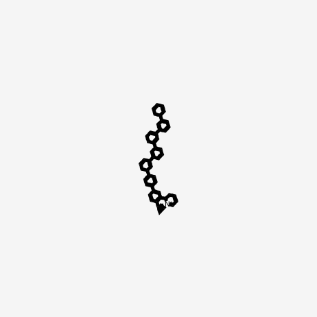 CC12CC1(C)[N+]1=CC=CCC1c1cc(-c3ccc(C4C=C(c5cccc(C6=CC(c7cccc(C8C=CC=CC8)c7)=CCC6)c5)C=CC4)cc3)ccc12